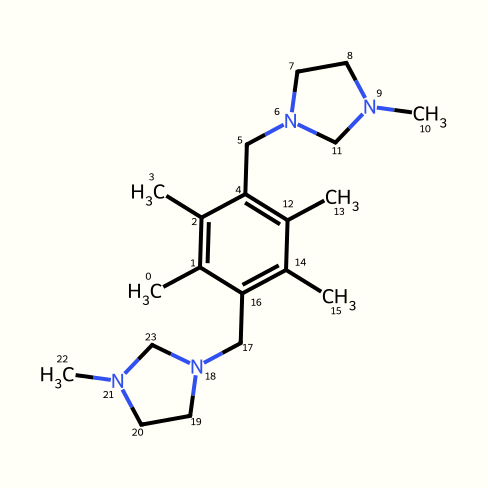 Cc1c(C)c(CN2CCN(C)C2)c(C)c(C)c1CN1CCN(C)C1